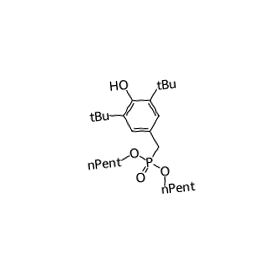 CCCCCOP(=O)(Cc1cc(C(C)(C)C)c(O)c(C(C)(C)C)c1)OCCCCC